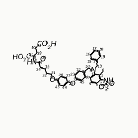 Cc1c(NS(C)(=O)=O)cccc1N(Cc1ccccc1)Cc1ccc(Oc2ccc(OCCCCC(=O)N[C@@H](CCC(=O)O)C(=O)O)cc2)cc1